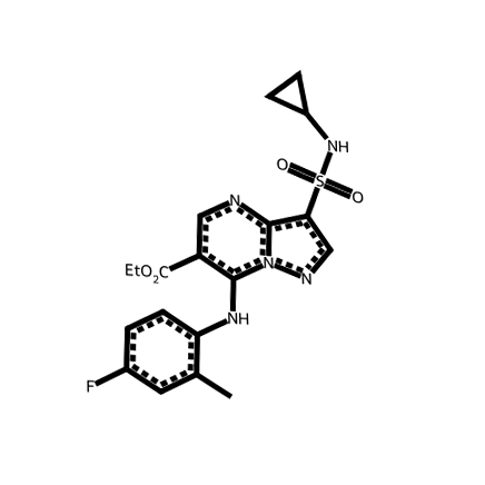 CCOC(=O)c1cnc2c(S(=O)(=O)NC3CC3)cnn2c1Nc1ccc(F)cc1C